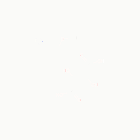 COc1ccccc1N.O=C(O)C(O)C(O)C(=O)O